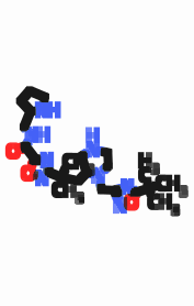 CC(C)(C)c1nc(CN2CCNCC2CC(C)(C)c2noc(C(=O)NCC3CCCN3)n2)no1